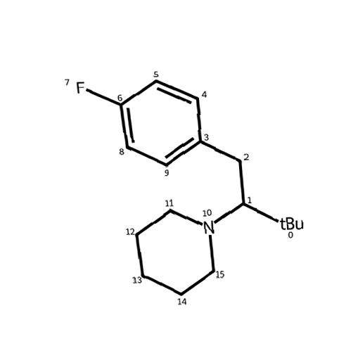 CC(C)(C)C(Cc1ccc(F)cc1)N1CCCCC1